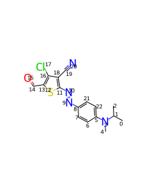 CC(C)N(C)c1ccc(N=Nc2sc(C=O)c(Cl)c2C#N)cc1